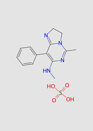 CNC1=C(c2ccccc2)C2=NCCN2C(C)=N1.O=S(=O)(O)O